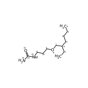 CCCCC(CC)COCCCNC(N)=O